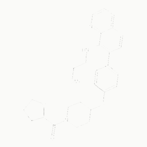 COCCNc1c(-c2ccc(OC3CCN(C(=O)C4CCCO4)CC3)cc2)ccc2cccnc12